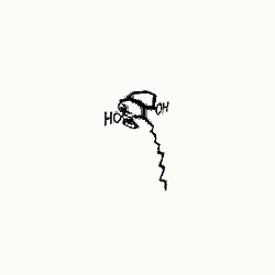 CCCCCCCCCCCCC(c1c(C)cccc1O)S(=O)(=O)O